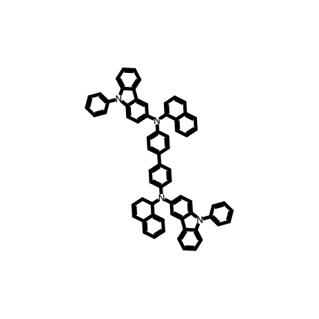 C1=Cc2ccccc2C(N(c2ccc(-c3ccc(N(c4ccc5c(c4)c4ccccc4n5-c4ccccc4)c4cccc5ccccc45)cc3)cc2)c2ccc3c(c2)c2ccccc2n3-c2ccccc2)C1